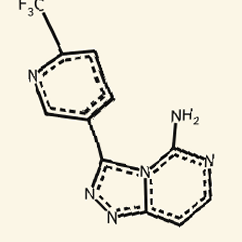 Nc1nccc2nnc(-c3ccc(C(F)(F)F)nc3)n12